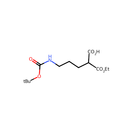 CCOC(=O)C(CCCNC(=O)OC(C)(C)C)C(=O)O